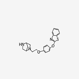 c1ccc2sc(Oc3ccc(OCCN4CC5CC4CN5)cc3)nc2c1